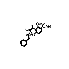 COc1ccc(OC)c(C(C)C(=O)OC=Cc2ccccc2)c1OC